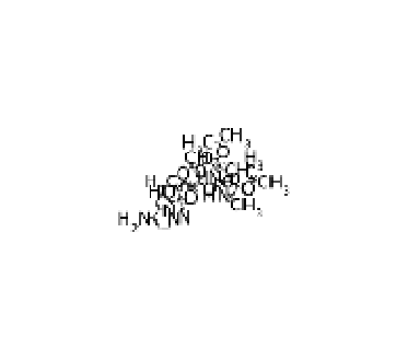 CC(=O)O[C@@H]1[C@@H](COP(=O)(N[C@@H](C)C(=O)OC(C)C)N[C@@H](C)C(=O)OC(C)C)O[C@@](C#N)(c2ccc3c(N)ccnn23)[C@]1(C)O